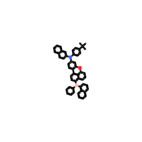 C[Si](C)(C)c1ccc(N(c2ccc3c(c2)Oc2cccc4c(B(c5ccccc5)c5cccc6ccccc56)ccc-3c24)c2ccc3ccccc3c2)cc1